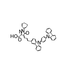 O=C(O)C1=NN(C2=CCCC=C2)C(=O)/C1=C\C=C\c1ccc2c(c1)c1ccccc1n2-c1ccc(-n2c3ccccc3c3ccccc32)cc1